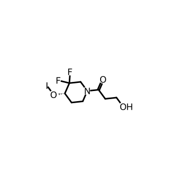 O=C(CCO)N1CC[C@H](OI)C(F)(F)C1